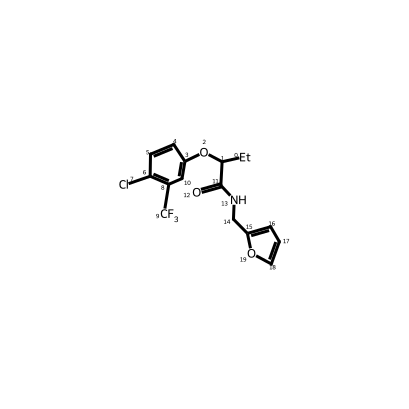 CCC(Oc1ccc(Cl)c(C(F)(F)F)c1)C(=O)NCc1ccco1